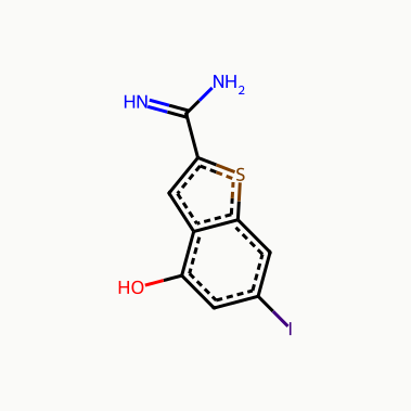 N=C(N)c1cc2c(O)cc(I)cc2s1